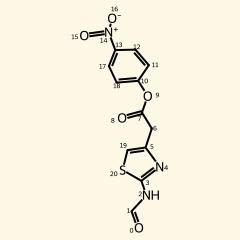 O=CNc1nc(CC(=O)Oc2ccc([N+](=O)[O-])cc2)cs1